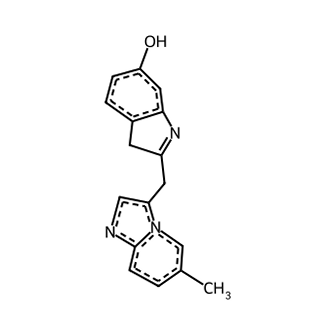 Cc1ccc2ncc(CC3=Nc4cc(O)ccc4C3)n2c1